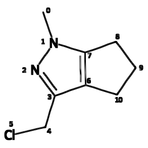 Cn1nc(CCl)c2c1CCC2